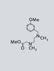 COC(=O)CN(C)CCN(C)Cc1cccc(OC)c1